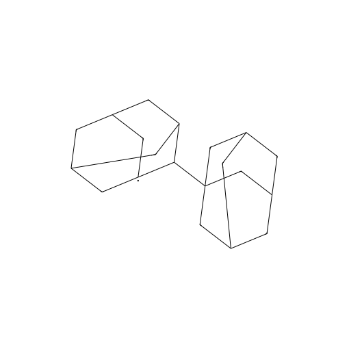 C1[C]2CC3CC1CC(C3)C2C12CC3CC(CC(C3)C1)C2